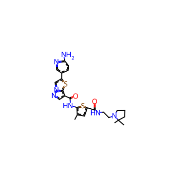 Cc1cc(C(=O)NCCN2CCCC2(C)C)sc1NC(=O)c1cnn2cc(-c3ccc(N)nc3)sc12